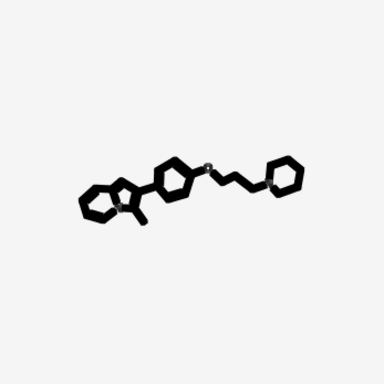 Cc1c(-c2ccc(OCCCN3CCCCC3)cc2)cc2ccccn12